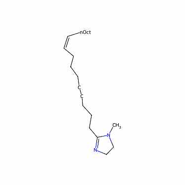 CCCCCCCC/C=C\CCCCCCCCC1=NCCN1C